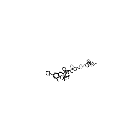 Cc1cc(Cl)cc2c1O[C@H](C(F)(F)F)C(C(=O)OCOC(=O)OCCOCCO[N+](=O)[O-])=C2